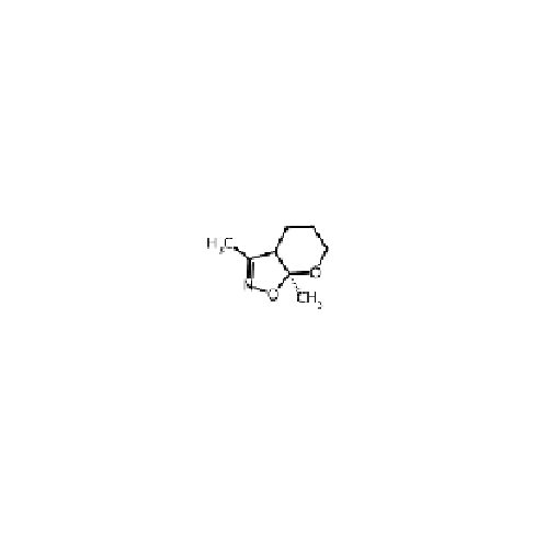 CC1=NO[C@]2(C)OCCCC12